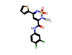 CN1C(C(=O)Nc2ccc(F)c(F)c2)=CC(c2cccs2)=NS1(=O)=O